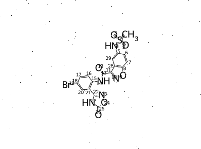 CS(=O)(=O)Nc1ccc2onc(C(=O)Nc3ccc(Br)cc3-c3noc(=O)[nH]3)c2c1